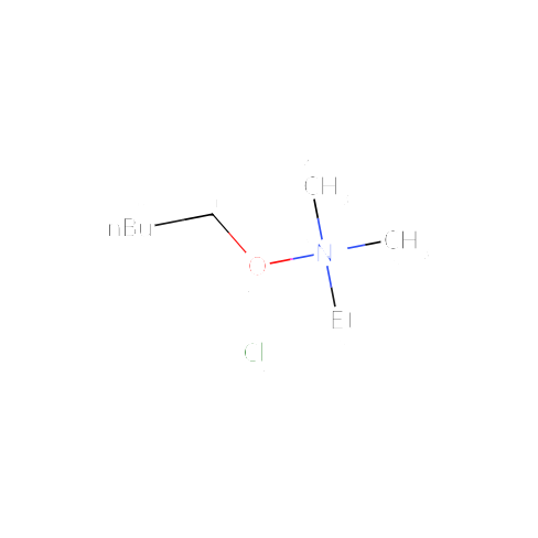 CCCCCO[N+](C)(C)CC.[Cl-]